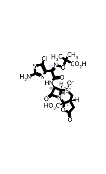 CC(C)(O/N=C(\C(=O)N[C@@H]1C(=O)N2[C@@H]1[S@@+]([O-])C[C@@H]1CC(=O)O[C@@]12C(=O)O)c1nc(N)sc1Cl)C(=O)O